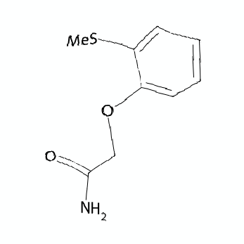 CSc1ccccc1OCC(N)=O